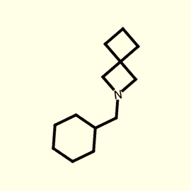 C1CCC(CN2CC3(CCC3)C2)CC1